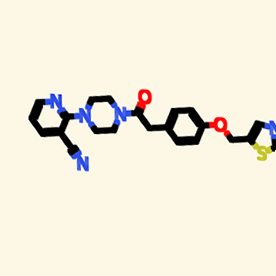 N#Cc1cccnc1N1CCN(C(=O)Cc2ccc(OCc3cncs3)cc2)CC1